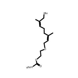 CCCCCC(=O)OCCOCC=C(C)CCC=C(C)CC(C)(C)C